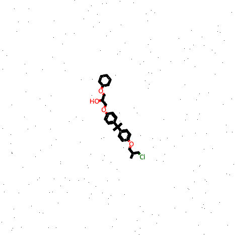 CC(CCl)COc1ccc(C(C)(C)c2ccc(OCC(O)COC3CCCCC3)cc2)cc1